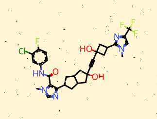 Cn1cc(C(F)(F)F)nc1C1CC(O)(C#CC2(O)CC3CC(c4ncn(C)c4C(=O)Nc4ccc(F)c(Cl)c4)CC3C2)C1